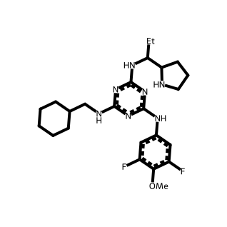 CCC(Nc1nc(NCC2CCCCC2)nc(Nc2cc(F)c(OC)c(F)c2)n1)C1CCCN1